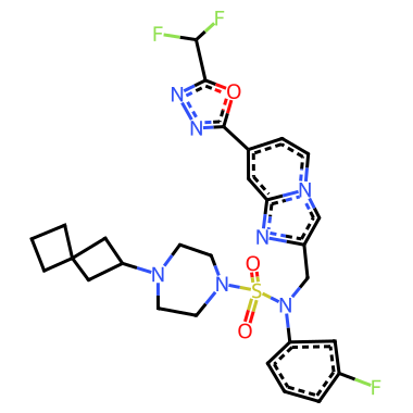 O=S(=O)(N1CCN(C2CC3(CCC3)C2)CC1)N(Cc1cn2ccc(-c3nnc(C(F)F)o3)cc2n1)c1cccc(F)c1